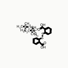 C[N+](C)(C)C.C[N+](C)(C)C.O=C(O)c1ccccc1SSc1ccccc1C(=O)O